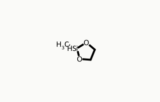 C[SiH]1OCCO1